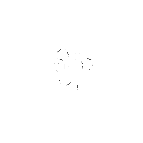 O=C(O)C=CC(=O)O.OC(Cn1ccnc1)(c1ccccc1)c1ccncc1